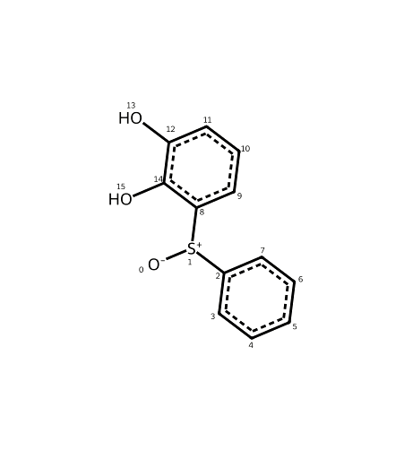 [O-][S+](c1ccccc1)c1cccc(O)c1O